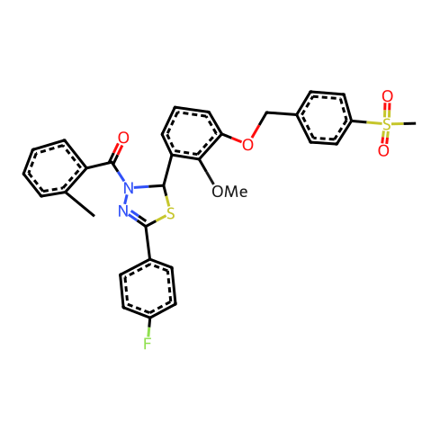 COc1c(OCc2ccc(S(C)(=O)=O)cc2)cccc1C1SC(c2ccc(F)cc2)=NN1C(=O)c1ccccc1C